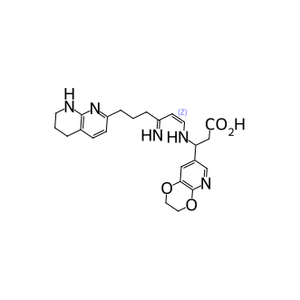 N=C(/C=C\NC(CC(=O)O)c1cnc2c(c1)OCCO2)CCCc1ccc2c(n1)NCCC2